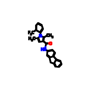 Cc1cc(C(=O)Nc2ccc3c(c2)Cc2ccccc2-3)c(C)n1-c1ccccc1C(F)(F)F